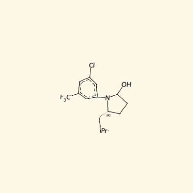 C[C](C)C[C@H]1CCC(O)N1c1cc(Cl)cc(C(F)(F)F)c1